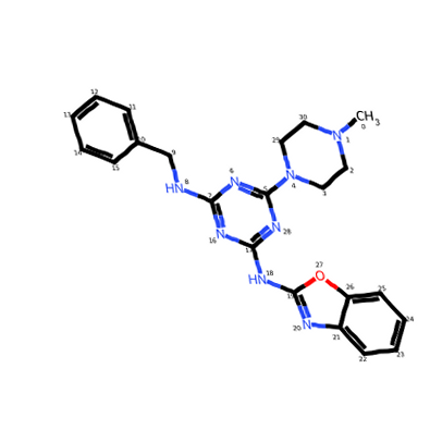 CN1CCN(c2nc(NCc3ccccc3)nc(Nc3nc4ccccc4o3)n2)CC1